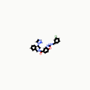 O=C(c1ccc2oc(NCc3cccc(Cl)c3)nc2c1)N(CCn1ccnn1)Cc1ccccc1